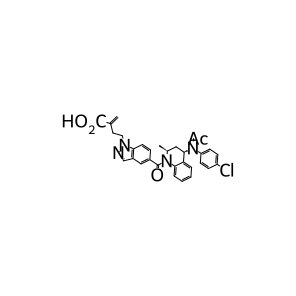 C=C(CCn1ncc2cc(C(=O)N3c4ccccc4[C@H](N(C(C)=O)c4ccc(Cl)cc4)C[C@@H]3C)ccc21)C(=O)O